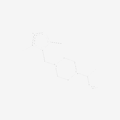 CSC(C)N1CCN(Cc2c(C)noc2C)CC1